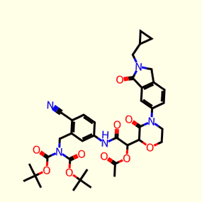 CC(=O)OC(C(=O)Nc1ccc(C#N)c(CN(C(=O)OC(C)(C)C)C(=O)OC(C)(C)C)c1)C1OCCN(c2ccc3c(c2)C(=O)N(CC2CC2)C3)C1=O